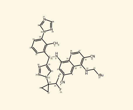 Cc1c([C@H](Nc2cc(C#N)cc3c(NCC(C)(C)C)c(C#N)cnc23)c2cn(C3(C(F)F)CC3)nn2)cccc1-n1cncn1